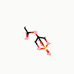 CC(=O)OC12COP(=O)(OC1)OC2